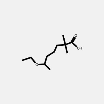 CCOC(C)CCCC(C)(C)C(=O)O